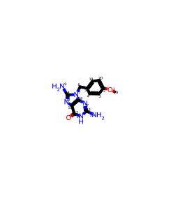 COc1ccc(Cn2c(N)nc3c(=O)[nH]c(N)nc32)cc1